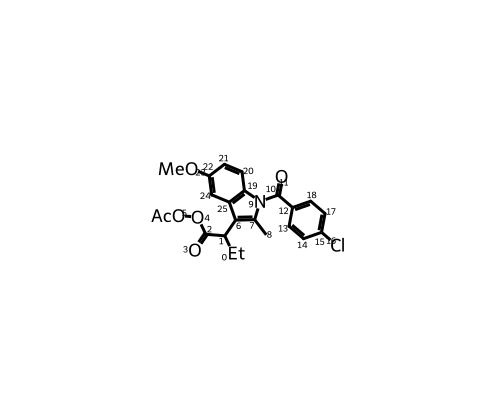 CCC(C(=O)OOC(C)=O)c1c(C)n(C(=O)c2ccc(Cl)cc2)c2ccc(OC)cc12